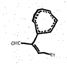 CC/C=C(/[C]=O)c1ccccc1